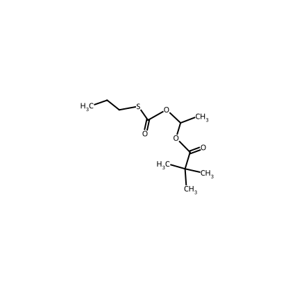 CCCSC(=O)OC(C)OC(=O)C(C)(C)C